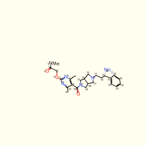 CNC(=O)COc1nc(C)c(C(=O)N2CC3CN(CC[C@H](N)c4ccccc4)CC3C2)c(C)n1